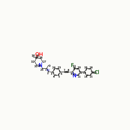 C/C(=C\c1ccc(C#Cc2ncc(-c3ccc(Cl)cc3)cc2F)cc1)CN1CCC(C)(O)CC1